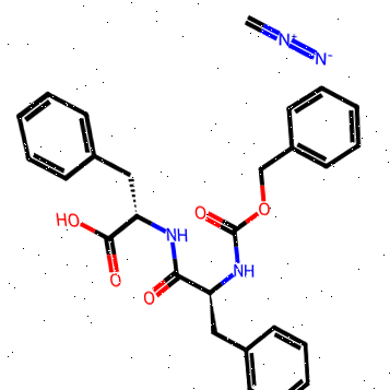 C=[N+]=[N-].O=C(N[C@@H](Cc1ccccc1)C(=O)N[C@@H](Cc1ccccc1)C(=O)O)OCc1ccccc1